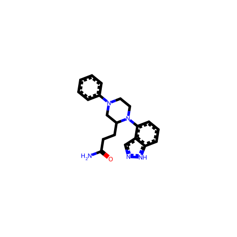 NC(=O)CCC1CN(c2ccccc2)CCN1c1cccc2[nH]ncc12